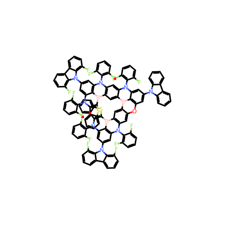 Fc1cccc(F)c1N1c2cc3c(cc2B2c4cc5c(cc4Oc4cc(-n6c7ccccc7c7ccccc76)cc1c42)N(c1c(F)cccc1F)c1cc(-n2c4c(F)cccc4c4cccc(F)c42)cc2c1B5c1sc4ccccc4c1N2c1c(F)cccc1F)B1c2sc4ccccc4c2N(c2c(F)cccc2F)c2cc(-n4c5c(F)cccc5c5cccc(F)c54)cc(c21)N3c1c(F)cccc1F